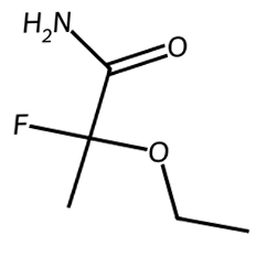 CCOC(C)(F)C(N)=O